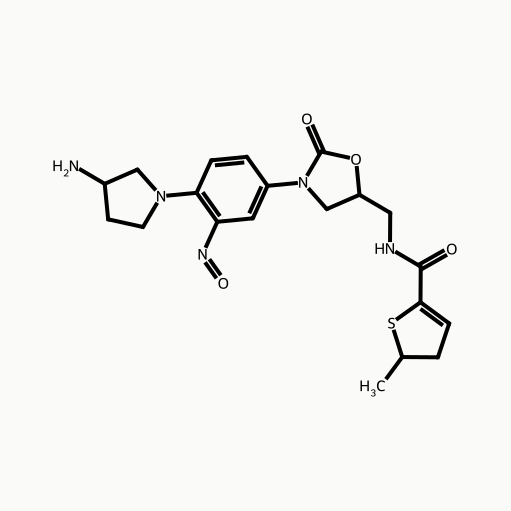 CC1CC=C(C(=O)NCC2CN(c3ccc(N4CCC(N)C4)c(N=O)c3)C(=O)O2)S1